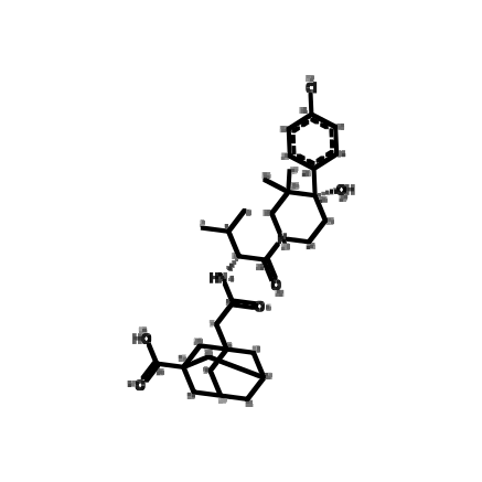 CC(C)[C@@H](NC(=O)CC12CC3CC(C1)CC(C(=O)O)(C3)C2)C(=O)N1CC[C@](O)(c2ccc(Cl)cc2)C(C)(C)C1